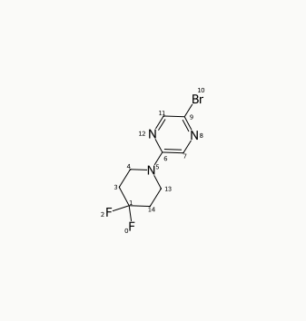 FC1(F)CCN(c2cnc(Br)cn2)CC1